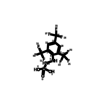 O=P(O)(O)NNc1c(C(F)(F)F)cc(C(F)(F)F)cc1C(F)(F)F